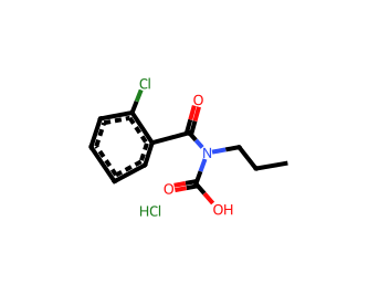 CCCN(C(=O)O)C(=O)c1ccccc1Cl.Cl